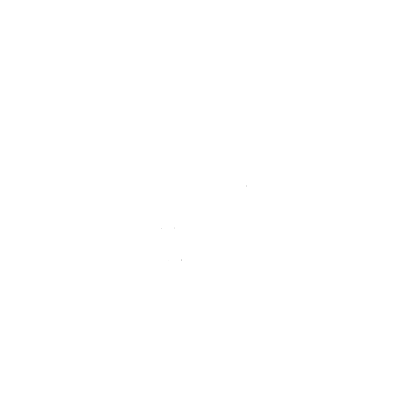 CCCCCCCCC1(CCCCCCCC)CC=Cc2sc3ccccc3c21